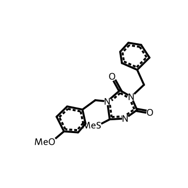 COc1ccc(Cn2c(SC)nc(=O)n(Cc3ccccc3)c2=O)cc1